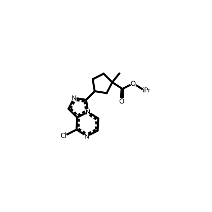 CC(C)OC(=O)C1(C)CCC(c2ncc3c(Cl)nccn23)C1